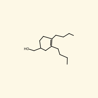 CCCCC1=C(CCCC)CC(CO)CC1